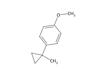 COc1ccc(C2(C)CC2)cc1